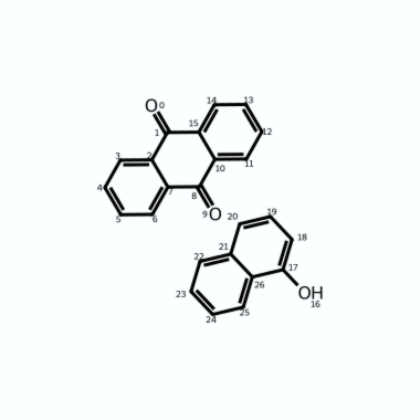 O=C1c2ccccc2C(=O)c2ccccc21.Oc1cccc2ccccc12